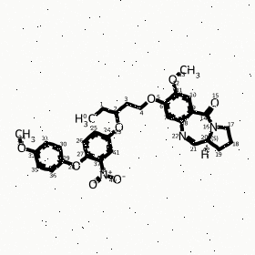 CCC(CCOc1cc2c(cc1OC)C(=O)N1CCC[C@H]1C=N2)Oc1ccc(Oc2ccc(OC)cc2)c([N+](=O)[O-])c1